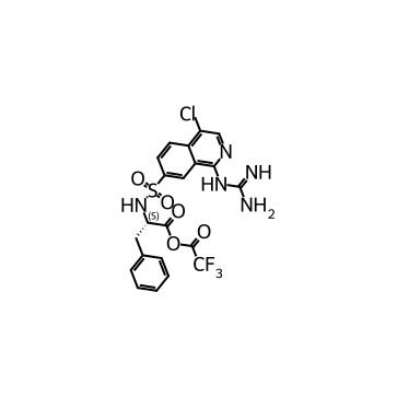 N=C(N)Nc1ncc(Cl)c2ccc(S(=O)(=O)N[C@@H](Cc3ccccc3)C(=O)OC(=O)C(F)(F)F)cc12